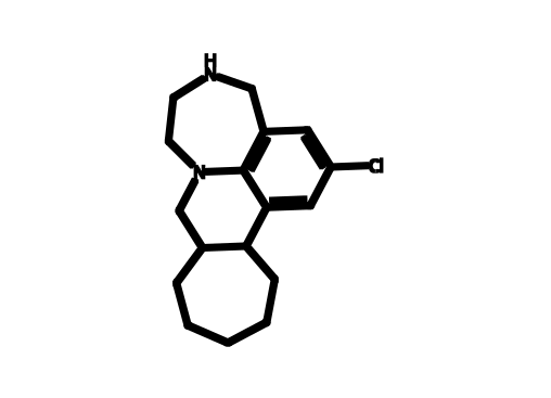 Clc1cc2c3c(c1)C1CCCCCC1CN3CCNC2